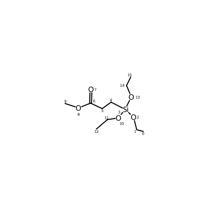 CCO[Si](CCC(=O)OC)(OCC)OCC